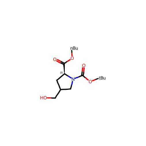 CCCCOC(=O)[C@@H]1CC(CO)CN1C(=O)OC(C)(C)C